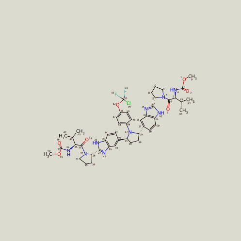 COC(=O)N[C@H](C(=O)N1CCC[C@H]1c1nc2cc([C@@H]3CC[C@@H](c4ccc5[nH]c([C@@H]6CCCN6C(=O)[C@@H](NC(=O)OC)C(C)C)nc5c4)N3c3ccc(OC(F)(F)Cl)cc3)ccc2[nH]1)C(C)C